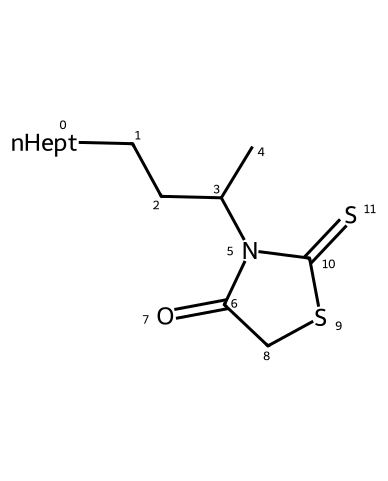 CCCCCCCCCC(C)N1C(=O)CSC1=S